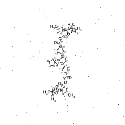 C[C@H]1CC(C(=O)OCC(=O)c2ccc(-c3ccc(-c4ccc(C(=O)COC(=O)[C@@H]5C[C@H](C)CN5C(=O)OC(C)(C)C)cc4)c4c3CC3(CCCC3)C4)cc2)N(C(=O)OC(C)(C)C)C1